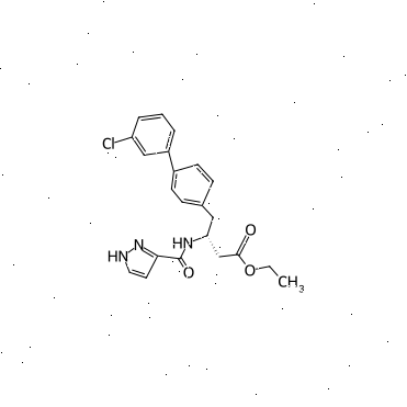 CCOC(=O)C[C@@H](Cc1ccc(-c2cccc(Cl)c2)cc1)NC(=O)c1cc[nH]n1